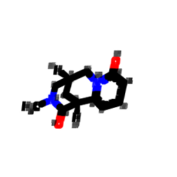 CN1C[C@H]2C[C@@H](C1=O)c1cccc(=O)n1C2